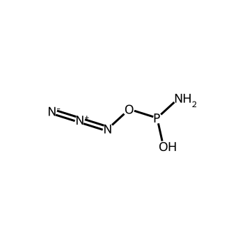 [N-]=[N+]=NOP(N)O